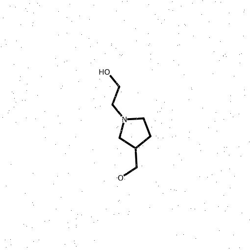 [O]CC1CCN(CCO)C1